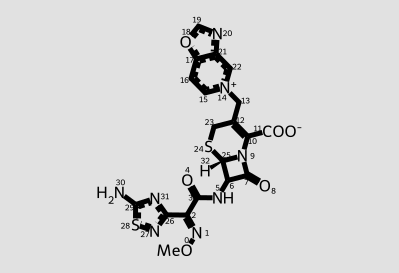 CON=C(C(=O)NC1C(=O)N2C(C(=O)[O-])=C(C[n+]3ccc4ocnc4c3)CS[C@@H]12)c1nsc(N)n1